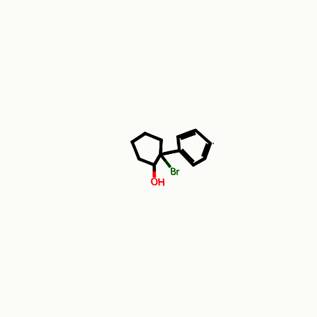 OC1CCCCC1(Br)c1cc[c]cc1